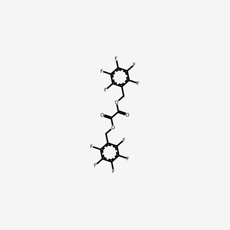 O=C(OCc1c(F)c(F)c(F)c(F)c1F)C(=O)OCc1c(F)c(F)c(F)c(F)c1F